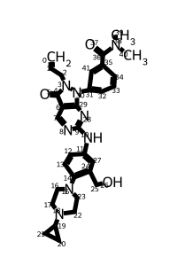 C=CCn1c(=O)c2cnc(Nc3ccc(N4CCN(C5CC5)CC4)c(CO)c3)nc2n1-c1cccc(C(=O)N(C)C)c1